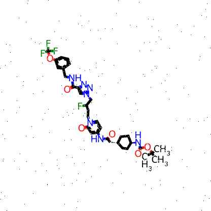 CC(C)(C)OC(=O)N[C@H]1CC[C@H](CC(=O)Nc2ccn(CCC(F)Cn3cc(C(=O)NCc4cccc(OC(F)(F)F)c4)nn3)c(=O)c2)CC1